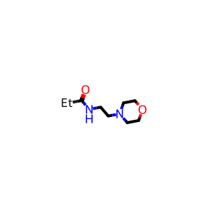 [CH2]CC(=O)NCCN1CCOCC1